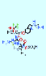 CC1(C)[C@H](NC(=O)/C(=N\OC(COc2ccc3nc(NC4CNC4)ccc3c2)C(=O)O)c2nsc(N)n2)C(=O)N1OS(=O)(=O)O.O=C(O)C(F)(F)F